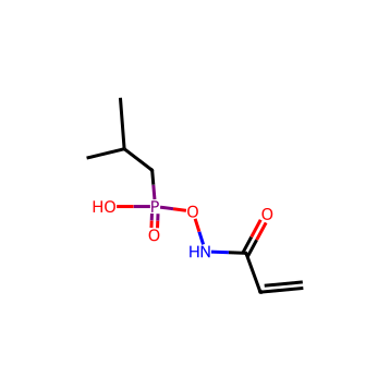 C=CC(=O)NOP(=O)(O)CC(C)C